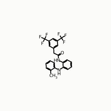 Cc1ccccc1Nc1ccccc1NC(=O)Cc1cc(C(F)(F)F)cc(C(F)(F)F)c1